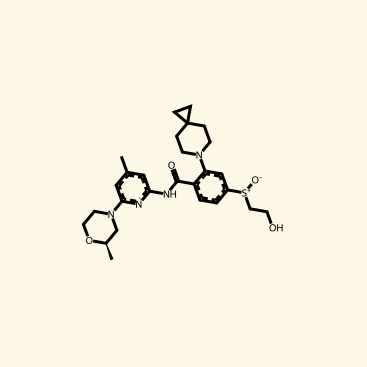 Cc1cc(NC(=O)c2ccc([S+]([O-])CCO)cc2N2CCC3(CC2)CC3)nc(N2CCO[C@H](C)C2)c1